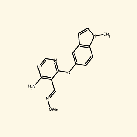 CO/N=C/c1c(N)ncnc1Oc1ccc2c(ccn2C)c1